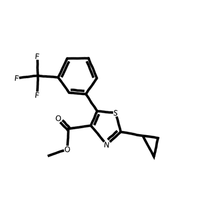 COC(=O)c1nc(C2CC2)sc1-c1cccc(C(F)(F)F)c1